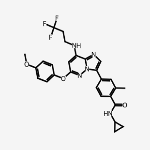 COc1ccc(Oc2cc(NCCC(F)(F)F)c3ncc(-c4ccc(C(=O)NC5CC5)c(C)c4)n3n2)cc1